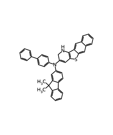 CC1(C)c2ccccc2-c2ccc(N(C3=Cc4sc5cc6ccccc6cc5c4NC3)c3ccc(-c4ccccc4)cc3)cc21